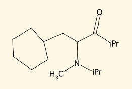 CC(C)C(=O)C(CC1CCCCC1)N(C)C(C)C